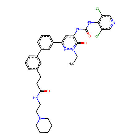 CCn1nc(-c2cccc(-c3cccc(CCC(=O)NCCN4CCCCC4)c3)c2)cc(NC(=O)Nc2c(Cl)cncc2Cl)c1=O